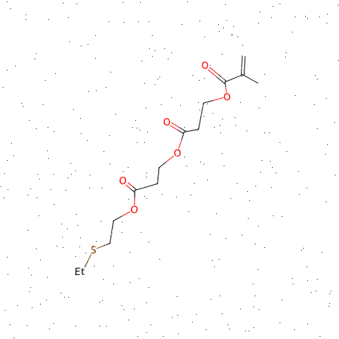 C=C(C)C(=O)OCCC(=O)OCCC(=O)OCCSCC